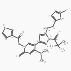 CN(C)c1cc(=O)n(CC(=O)c2ccoc2)cc1-c1cc(NCc2ccc(Cl)s2)n(C(=O)C(C)(C)C)n1